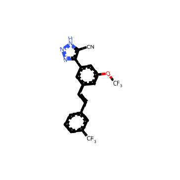 N#Cc1[nH]nnc1-c1cc(/C=C/c2cccc(C(F)(F)F)c2)cc(OC(F)(F)F)c1